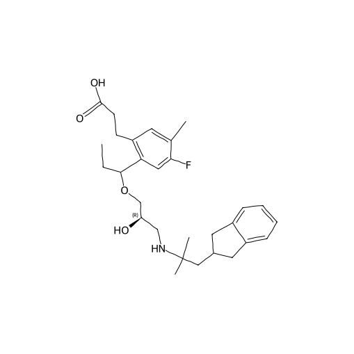 CCC(OC[C@H](O)CNC(C)(C)CC1Cc2ccccc2C1)c1cc(F)c(C)cc1CCC(=O)O